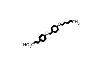 C=CCCCOC1CCC(COc2ccc(C=CC(=O)O)cc2)CC1